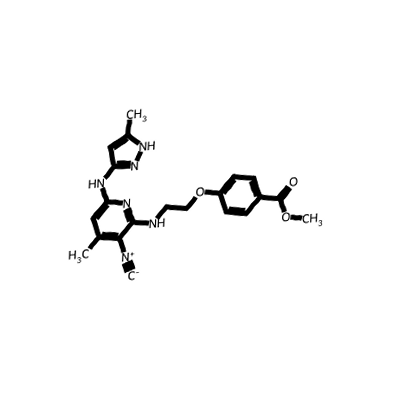 [C-]#[N+]c1c(C)cc(Nc2cc(C)[nH]n2)nc1NCCOc1ccc(C(=O)OC)cc1